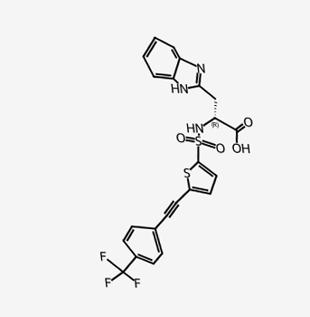 O=C(O)[C@@H](Cc1nc2ccccc2[nH]1)NS(=O)(=O)c1ccc(C#Cc2ccc(C(F)(F)F)cc2)s1